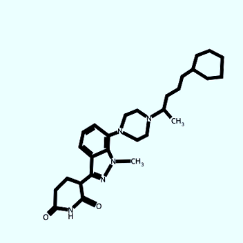 CC(CCCC1CCCCC1)N1CCN(c2cccc3c(C4CCC(=O)NC4=O)nn(C)c23)CC1